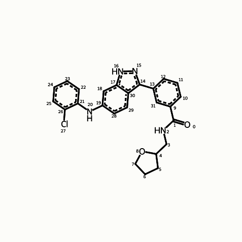 O=C(NCC1CCCO1)c1cccc(-c2n[nH]c3cc(Nc4ccccc4Cl)ccc23)c1